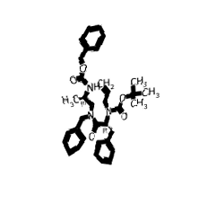 C=CCN(C(=O)OC(C)(C)C)[C@H](Cc1ccccc1)C(=O)N(Cc1ccccc1)C[C@@H](C)NC(=O)OCc1ccccc1